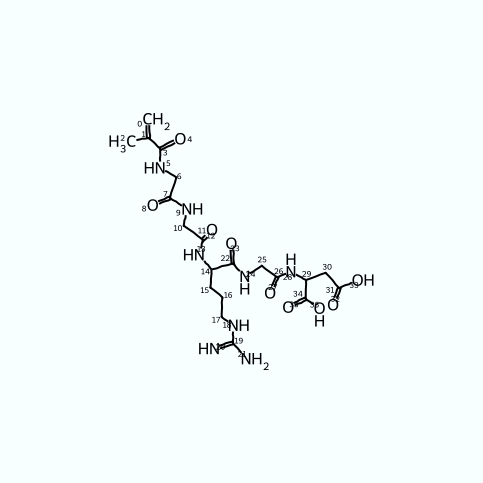 C=C(C)C(=O)NCC(=O)NCC(=O)NC(CCCNC(=N)N)C(=O)NCC(=O)NC(CC(=O)O)C(=O)O